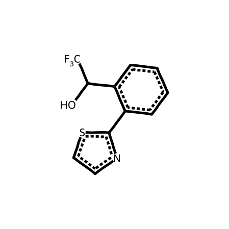 OC(c1ccccc1-c1nccs1)C(F)(F)F